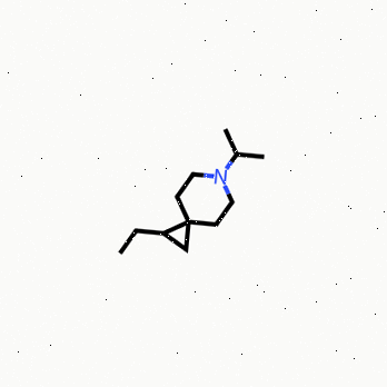 CCC1CC12CCN(C(C)C)CC2